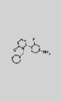 Nc1ccc(-c2cccc(=O)n2Cc2ccccc2)c(F)c1